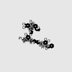 CC(C)CS(=O)(=O)Nc1cc(Cl)c(Cl)cc1NS(=O)(=O)c1cccs1.CC1(C)CCc2cc(S(=O)(=O)Nc3cc(Cl)c(Cl)cc3NS(=O)(=O)c3cccs3)ccc2O1.O=S(=O)(Cc1ccccc1)Nc1cc(Cl)c(Cl)cc1NS(=O)(=O)c1cccs1